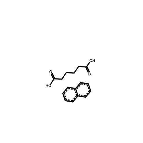 O=C(O)CCCCC(=O)O.c1ccc2ccccc2c1